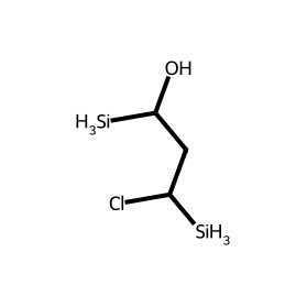 OC([SiH3])CC([SiH3])Cl